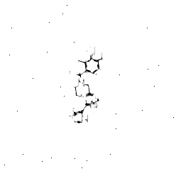 O=C(c1ccc(F)c(Cl)c1Cl)N1CCn2c(nnc2-c2ncns2)C1